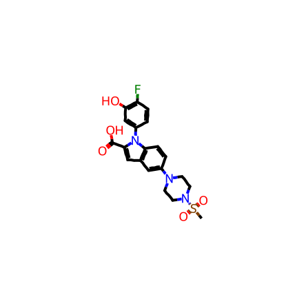 CS(=O)(=O)N1CCN(c2ccc3c(c2)cc(C(=O)O)n3-c2ccc(F)c(O)c2)CC1